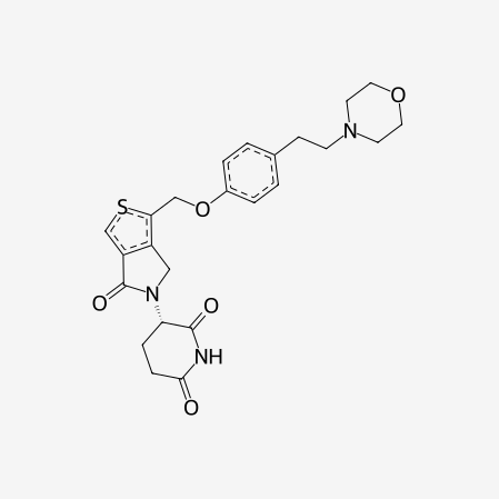 O=C1CC[C@H](N2Cc3c(csc3COc3ccc(CCN4CCOCC4)cc3)C2=O)C(=O)N1